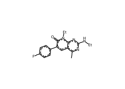 CCNc1nc(C)c2cc(-c3ccc(F)cc3)c(=O)n(CC)c2n1